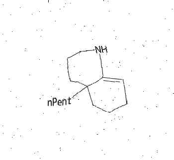 CCCCCC12CCCC=C1NCCC2